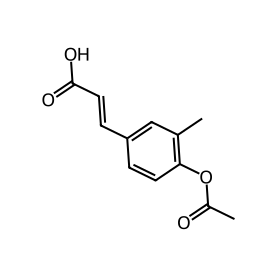 CC(=O)Oc1ccc(C=CC(=O)O)cc1C